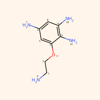 NCCOc1cc(N)cc(N)c1N